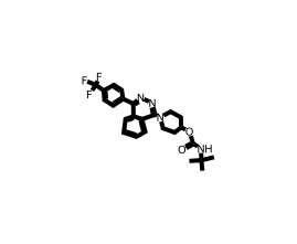 CC(C)(C)NC(=O)OC1CCN(c2nnc(-c3ccc(C(F)(F)F)cc3)c3ccccc23)CC1